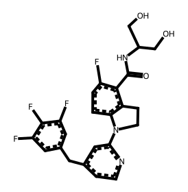 O=C(NC(CO)CO)c1c(F)ccc2c1CCN2c1cc(Cc2cc(F)c(F)c(F)c2)ccn1